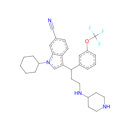 N#Cc1ccc2c(C(CCNC3CCNCC3)c3cccc(OC(F)(F)F)c3)cn(C3CCCCC3)c2c1